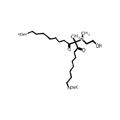 CCCCCCCCCCCCCCCCCC(=O)C(C)(C(=O)CCCCCCCCCCCCCCCCC)N(C)CCO